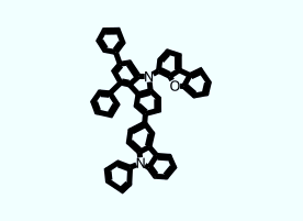 c1ccc(-c2cc(-c3ccccc3)c3c4cc(-c5ccc6c(c5)c5ccccc5n6-c5ccccc5)ccc4n(-c4cccc5c4oc4ccccc45)c3c2)cc1